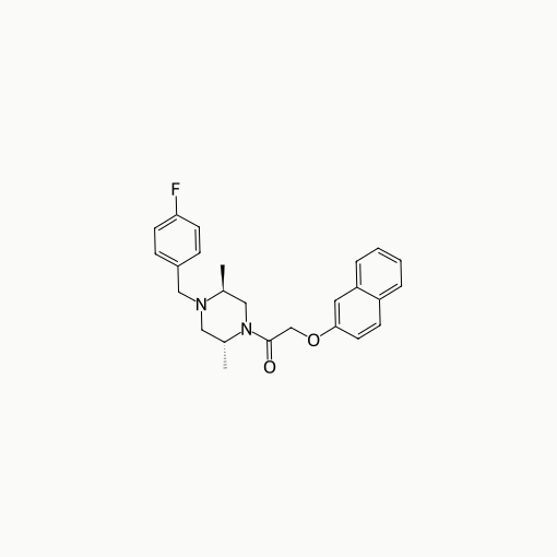 C[C@@H]1CN(Cc2ccc(F)cc2)[C@@H](C)CN1C(=O)COc1ccc2ccccc2c1